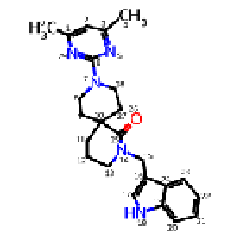 Cc1cc(C)nc(N2CCC3(CCCN(Cc4c[nH]c5ccccc45)C3=O)CC2)n1